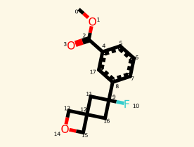 COC(=O)c1cccc(C2(F)CC3(COC3)C2)c1